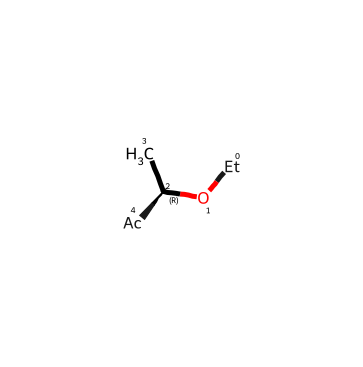 CCO[C@H](C)C(C)=O